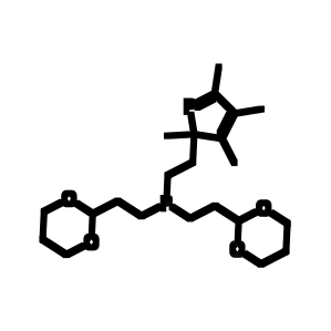 CC1=PC(C)(CCP(CCC2OCCCO2)CCC2OCCCO2)C(C)=C1C